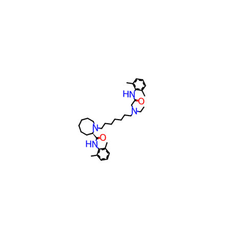 CCN(CCCCCCCN1CCCCCC[C@@H]1C(=O)Nc1c(C)cccc1C)CC(=O)Nc1c(C)cccc1C